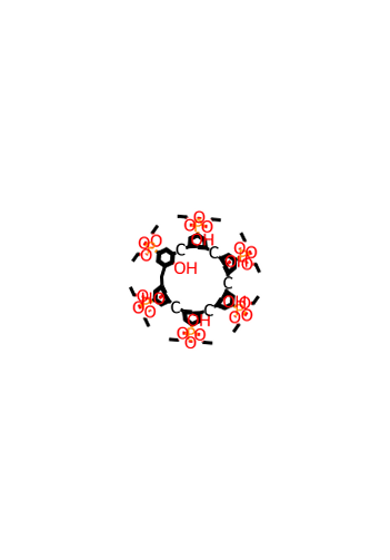 CCOP(=O)(OCC)c1cc2c(O)c(c1)Cc1cc(P(=O)(OCC)OCC)cc(c1O)Cc1cc(P(=O)(OCC)OCC)cc(c1O)Cc1cc(P(=O)(OCC)OCC)cc(c1O)Cc1cc(P(=O)(OCC)OCC)cc(c1O)Cc1cc(P(=O)(OCC)OCC)cc(c1O)C2